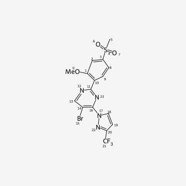 COc1cc(S(C)(=O)=O)ccc1-c1ncc(Br)c(-n2ccc(C(F)(F)F)n2)n1